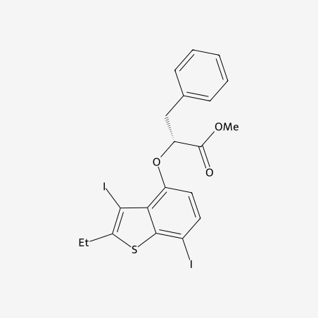 CCc1sc2c(I)ccc(O[C@H](Cc3ccccc3)C(=O)OC)c2c1I